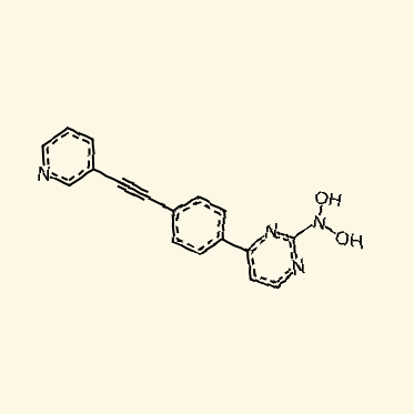 ON(O)c1nccc(-c2ccc(C#Cc3cccnc3)cc2)n1